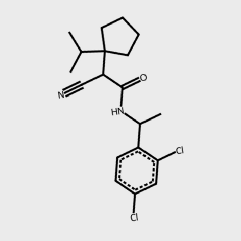 CC(NC(=O)C(C#N)C1(C(C)C)CCCC1)c1ccc(Cl)cc1Cl